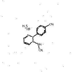 F.N#CNN1C=CC=NC1c1ccc(C#N)cc1.S